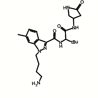 Cc1ccc2c(C(=O)NC(C(=O)NC3CNC(=O)C3)C(C)(C)C)nn(CCCCN)c2c1